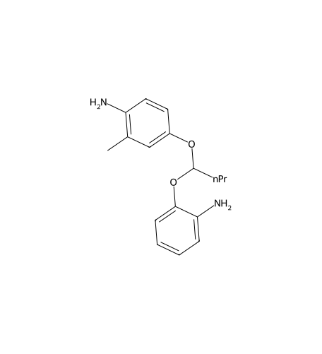 CCCC(Oc1ccc(N)c(C)c1)Oc1ccccc1N